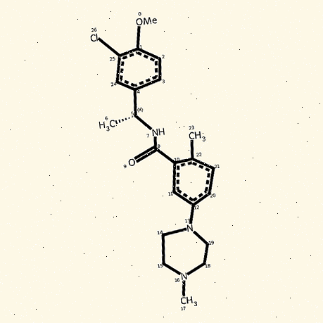 COc1ccc([C@@H](C)NC(=O)c2cc(N3CCN(C)CC3)ccc2C)cc1Cl